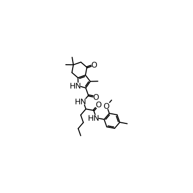 CCCCC(NC(=O)c1[nH]c2c(c1C)C(=O)CC(C)(C)C2)C(=O)Nc1ccc(C)cc1OC